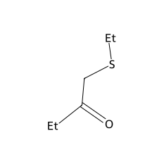 CCSCC(=O)CC